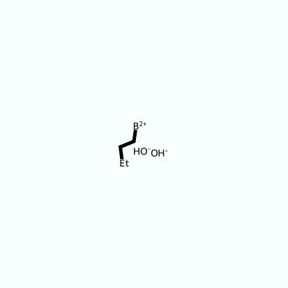 [B+2]CCCC.[OH-].[OH-]